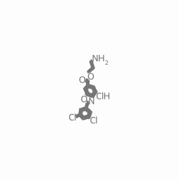 Cl.NCCCOC(=O)c1ccc2nc(-c3cc(Cl)cc(Cl)c3)oc2c1